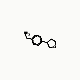 NCc1ccc(C2CCOC2)cc1